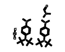 CN(C)C=O.CN(C)c1ccc(P(C(C)(C)C)C(C)(C)C)cc1.CN(C)c1ccc(P(C(C)(C)C)C(C)(C)C)cc1.[Cl][Pd][Cl]